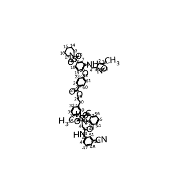 Cc1cc(CNc2cc(S(=O)(=O)N3CCCCC3)ccc2Oc2ccc(C(=O)OCCc3ccc(C)c(S(=O)(=O)N(CC(=O)Nc4cccc(C#N)c4)c4ccccc4C)c3)cc2)no1